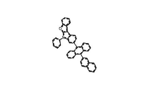 c1ccc(-n2c3cc(-c4c5ccccc5c(-c5ccc6ccccc6c5)c5ccccc45)ccc3c3c4ccccc4oc32)cc1